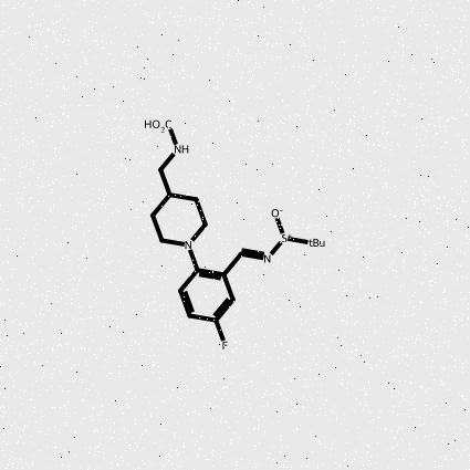 CC(C)(C)[S+]([O-])N=Cc1cc(F)ccc1N1CCC(CNC(=O)O)CC1